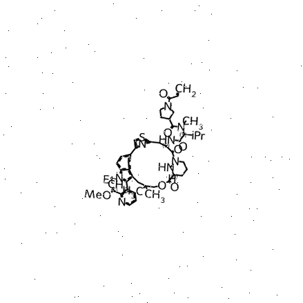 C=CC(=O)N1CCC(C(=O)N(C)[C@H](C(=O)N[C@H]2Cc3nc(cs3)-c3ccc4c(c3)c(c(-c3cccnc3[C@H](C)OC)n4CC)CC(C)(C)COC(=O)[C@@H]3CCCN(N3)C2=O)C(C)C)C1